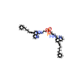 O=[PH](OCCCNCc1ccc(C#CCCCCc2ccccc2)c2cccnc12)OCCCNCc1ccc(C#CCCCCc2ccccc2)c2cccnc12